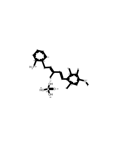 COc1cc(C)c(/C=C/C(C)=C/Cc2ccccc2P)c(C)c1C.O=P(O)(O)O